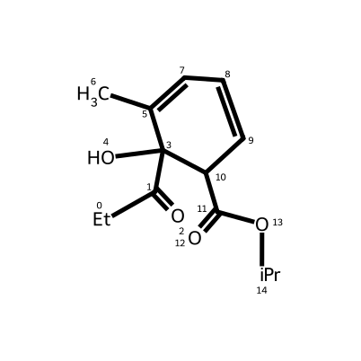 CCC(=O)C1(O)C(C)=CC=CC1C(=O)OC(C)C